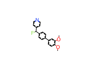 COc1ccc(-c2ccc(C(F)c3ccncc3)cc2)cc1OC